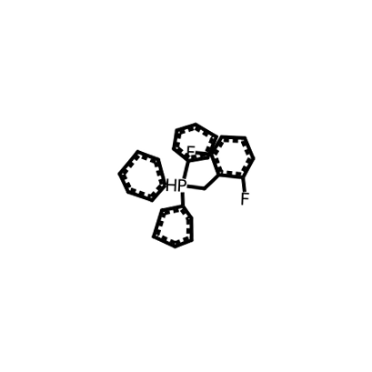 Fc1cccc(F)c1C[PH](c1ccccc1)(c1ccccc1)c1ccccc1